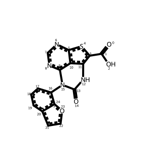 O=C(O)c1sc2ncnc3c2c1NC(=O)N3c1cccc2ccoc12